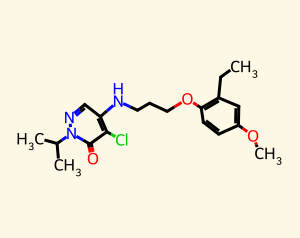 CCc1cc(OC)ccc1OCCCNc1cnn(C(C)C)c(=O)c1Cl